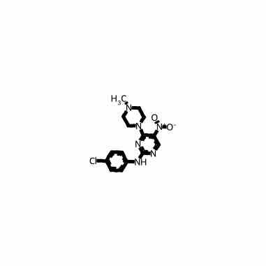 CN1CCN(c2nc(Nc3ccc(Cl)cc3)ncc2[N+](=O)[O-])CC1